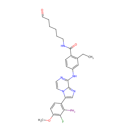 CCc1cc(Nc2nccn3c(-c4ccc(OC)c(F)c4P)cnc23)ccc1C(=O)NCCCCCC=O